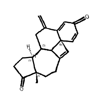 C=C1C[C@@H]2C3C(=C[C@@]34C=CC(=O)C=C14)CC[C@]1(C)C(=O)CC[C@@H]21